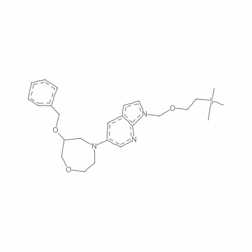 CS(C)(C)CCOCn1ccc2cc(N3CCOCC(OCc4ccccc4)C3)cnc21